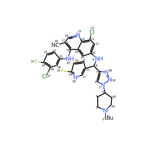 CC(C)(C)N1CCC(n2cc(C(Nc3cc(Cl)c4ncc(C#N)c(Nc5ccc(F)c(Cl)c5)c4c3)c3ccc(F)nc3)nn2)CC1